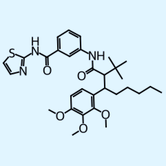 CCCCCC(c1ccc(OC)c(OC)c1OC)C(C(=O)Nc1cccc(C(=O)Nc2nccs2)c1)C(C)(C)C